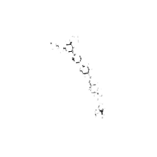 COCOc1cc(O)cc(-c2ccc(-c3ccc(CCC4CCC(CCCCC(F)(F)F)CC4)cc3)cc2)c1